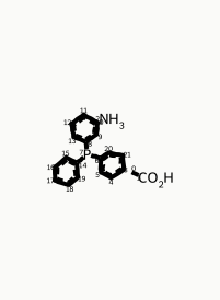 CC(=O)O.N.c1ccc(P(c2ccccc2)c2ccccc2)cc1